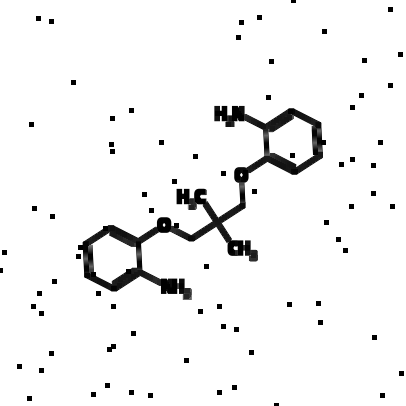 CC(C)(COc1ccccc1N)COc1ccccc1N